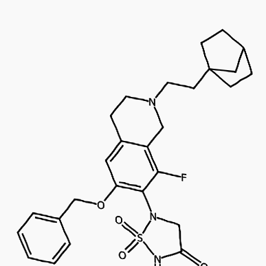 O=C1CN(c2c(OCc3ccccc3)cc3c(c2F)CN(CCC24CCC(CC2)C4)CC3)S(=O)(=O)N1